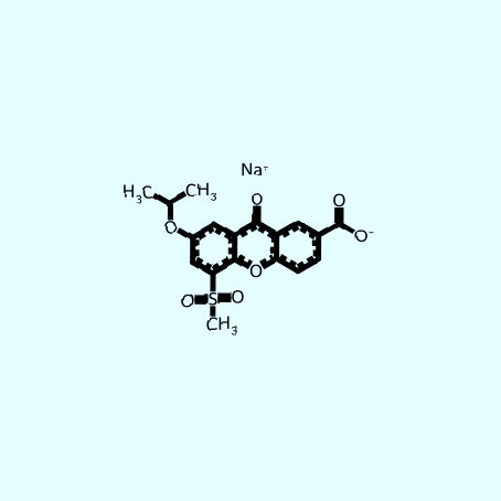 CC(C)Oc1cc(S(C)(=O)=O)c2oc3ccc(C(=O)[O-])cc3c(=O)c2c1.[Na+]